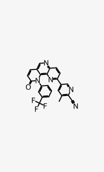 Cc1cc(-c2ccc3ncc4ccc(=O)n(-c5cccc(C(F)(F)F)c5)c4c3n2)cnc1C#N